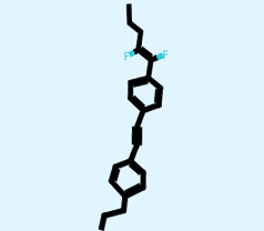 CCC/C(F)=C(\F)c1ccc(C#Cc2ccc(CCC)cc2)cc1